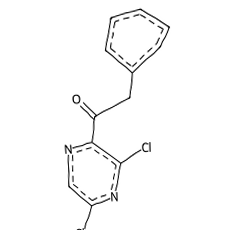 O=C(Cc1ccccc1)c1ncc(Cl)nc1Cl